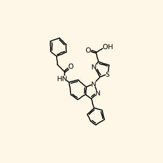 O=C(Cc1ccccc1)Nc1ccc2c(-c3ccccc3)nn(-c3nc(C(=O)O)cs3)c2c1